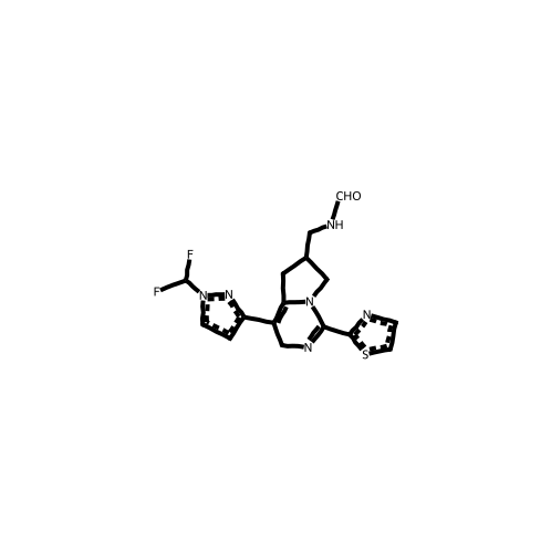 O=CNCC1CC2=C(c3ccn(C(F)F)n3)CN=C(c3nccs3)N2C1